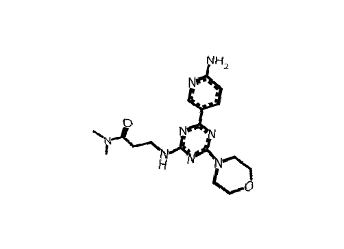 CN(C)C(=O)CCNc1nc(-c2ccc(N)nc2)nc(N2CCOCC2)n1